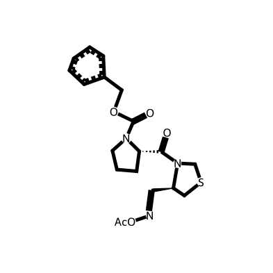 CC(=O)ON=C[C@@H]1CSCN1C(=O)[C@@H]1CCCN1C(=O)OCc1ccccc1